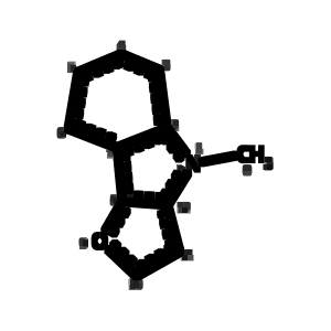 Cn1c2ccccc2c2occc21